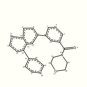 O=C(c1cncc(-c2ccc3nccc(-c4ccncc4)c3c2)c1)N1CCOCC1